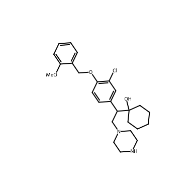 COc1ccccc1COc1ccc(C(CN2CCNCC2)C2(O)CCCCC2)cc1Cl